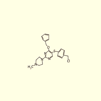 CN1CCN(c2ncc(Sc3ccc(CCl)cc3)c(OCc3ccccc3)n2)CC1